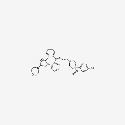 O=NC1(c2ccc(Cl)cc2)CCN(CCC=C2c3ccccc3C(=O)N(CC(=O)N3CCOCC3)c3ccccc32)CC1